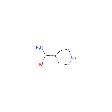 NC(O)C1CCNCC1